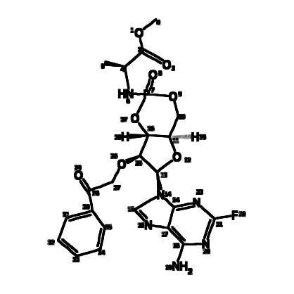 COC(=O)[C@H](C)NP1(=O)OC[C@H]2O[C@@H](n3cnc4c(N)nc(F)nc43)[C@@H](OCC(=O)c3ccccc3)[C@@H]2O1